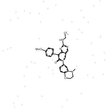 COc1ccc(-c2c(=O)n(-c3ccc4c(c3)N(C)CCO4)cc3cnc(NCC(F)(F)F)nc23)cc1